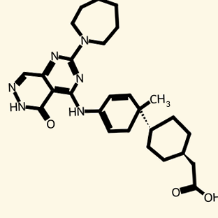 CC1([C@H]2CC[C@H](CC(=O)O)CC2)C=CC(Nc2nc(N3CCCCCC3)nc3cn[nH]c(=O)c23)=CC1